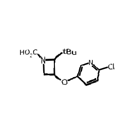 CC(C)(C)C1C(Oc2ccc(Cl)nc2)CN1C(=O)O